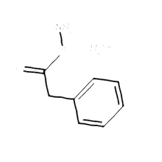 NSC(=O)Cc1ccccc1.[SeH2]